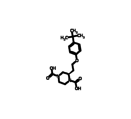 CC(C)(C)c1ccc(OCC[C@@H]2CN(C(=O)O)CCN2C(=O)O)cc1